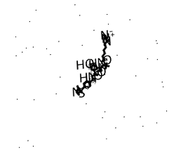 Cc1ncsc1-c1ccc([C@H](C)NC(=O)[C@@H]2C[C@@H](O)CN2C(=O)[C@H](NC(=O)CCCCCN=[N+]=[N-])C(C)(C)C)cc1